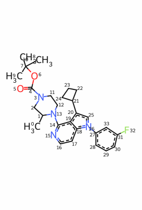 CC1CN(C(=O)OC(C)(C)C)CCN1c1nccc2c1c(C1CCC1)cn2-c1cccc(F)c1